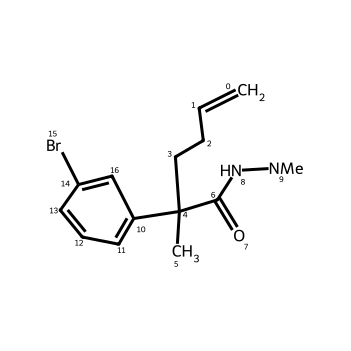 C=CCCC(C)(C(=O)NNC)c1cccc(Br)c1